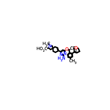 Cc1ccc([C@@H](Oc2cc(C3=CCC4(CC3)CC(C(=O)O)N(C)C4)nc(N)n2)C(F)(F)F)c(C2=CCCOC2)c1